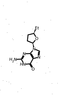 CC[C@@H]1CC[C@H](n2cnc3c(=O)[nH]c(N)nc32)O1